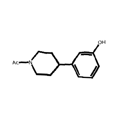 CC(=O)N1CCC(c2cccc(O)c2)CC1